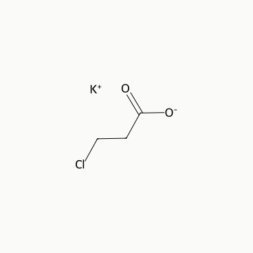 O=C([O-])CCCl.[K+]